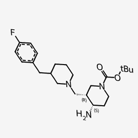 CC(C)(C)OC(=O)N1CC[C@H](N)[C@H](CN2CCCC(Cc3ccc(F)cc3)C2)C1